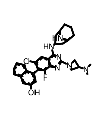 CN(C)C1CN(c2nc(NC3CC4CCCC(C3)N4)c3cc(Cl)c(-c4cc(O)cc5ccccc45)c(F)c3n2)C1